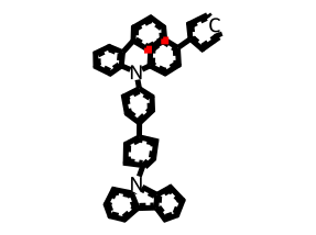 c1ccc(-c2ccc(N(c3ccc(-c4ccc(-n5c6ccccc6c6ccccc65)cc4)cc3)c3ccccc3-c3ccccc3)cc2)cc1